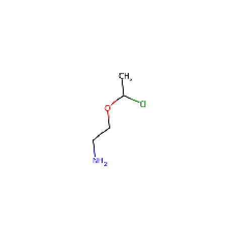 CC(Cl)OCCN